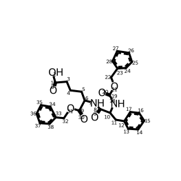 O=C(O)CCCC(NC(=O)C(Cc1ccccc1)NC(=O)OCc1ccccc1)C(=O)OCc1ccccc1